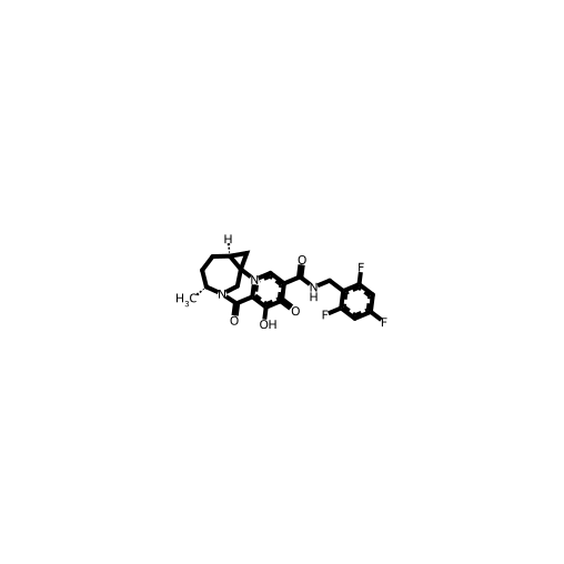 C[C@@H]1CC[C@H]2CC23CN1C(=O)c1c(O)c(=O)c(C(=O)NCc2c(F)cc(F)cc2F)cn13